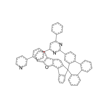 c1ccc(-c2cc(-c3ccc(-c4cccnc4)cc3)nc(-c3ccc4c(c3)C3(c5ccccc5-c5ccccc5-4)c4ccccc4-c4c3ccc3c4oc4ccccc43)n2)cc1